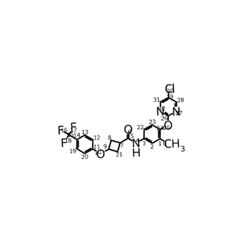 Cc1cc(NC(=O)C2CC(Oc3ccc(C(F)(F)F)cc3)C2)ccc1Oc1ncc(Cl)cn1